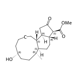 COC(=O)[C@@H]1C(=O)C[C@@H]2[C@H]3CCCC[C@@H](O)CC[C@@H](C)[C@@H]3CC[C@@H]12